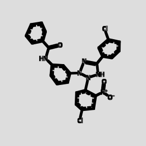 O=C(Nc1cccc(N2N=C(c3cccc(Cl)c3)NN2c2ccc(Cl)cc2[N+](=O)[O-])c1)c1ccccc1